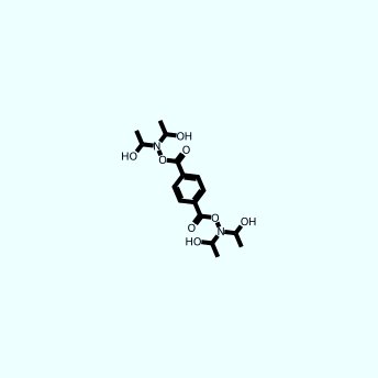 CC(O)N(OC(=O)c1ccc(C(=O)ON(C(C)O)C(C)O)cc1)C(C)O